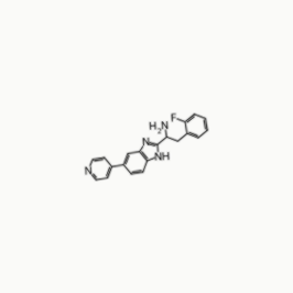 NC(Cc1ccccc1F)c1nc2cc(-c3ccncc3)ccc2[nH]1